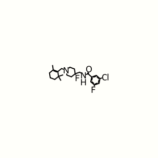 CC1=C(CN2CCC(F)(CNC(=O)c3cc(F)cc(Cl)c3)CC2)C(C)(C)CCC1